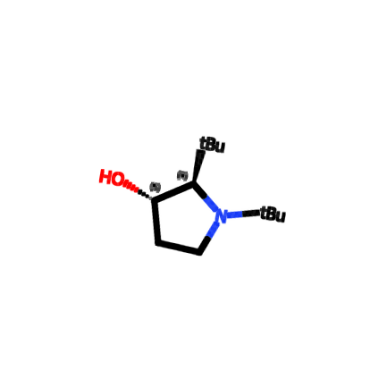 CC(C)(C)[C@@H]1[C@@H](O)CCN1C(C)(C)C